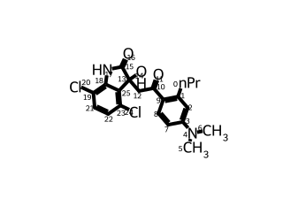 CCCc1cc(N(C)C)ccc1C(=O)CC1(O)C(=O)Nc2c(Cl)ccc(Cl)c21